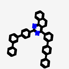 c1ccc(-c2ccc(-c3cccc(-c4nc(-c5ccc(-c6cccc(-c7ccccc7)c6)cc5)nc5c4ccc4ccccc45)c3)cc2)cc1